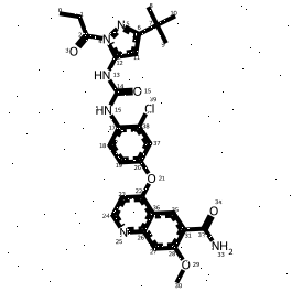 CCC(=O)n1nc(C(C)(C)C)cc1NC(=O)Nc1ccc(Oc2ccnc3cc(OC)c(C(N)=O)cc23)cc1Cl